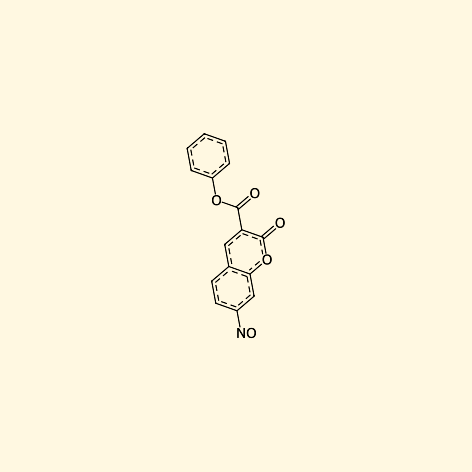 O=Nc1ccc2cc(C(=O)Oc3ccccc3)c(=O)oc2c1